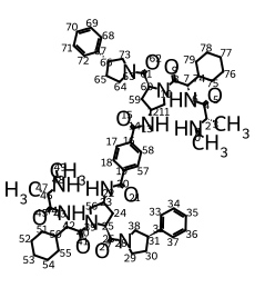 CN[C@@H](C)C(=O)N[C@H](C(=O)N1C[C@@H](NC(=O)c2ccc(C(=O)N[C@H]3C[C@@H](C(=O)N4CC[C@H](c5ccccc5)C4)N(C(=O)[C@@H](NC(=O)[C@H](C)NC)C4CCCCC4)C3)cc2)C[C@H]1C(=O)N1CC[C@H](c2ccccc2)C1)C1CCCCC1